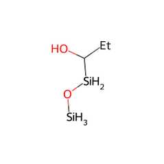 CCC(O)[SiH2]O[SiH3]